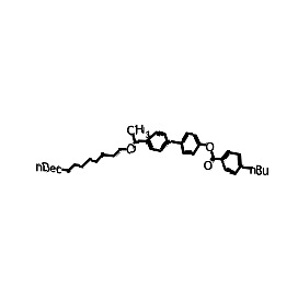 CCCCCCCCCCCCCCCCCCOC(C)c1ccc(-c2ccc(OC(=O)c3ccc(CCCC)cc3)cc2)cc1